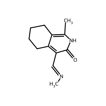 C/N=C/c1c2c(c(C)[nH]c1=O)CCCC2